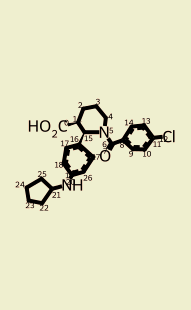 O=C(O)[C@H]1CCCN(C(=O)c2ccc(Cl)cc2)[C@H]1c1ccc(NC2CCCC2)cc1